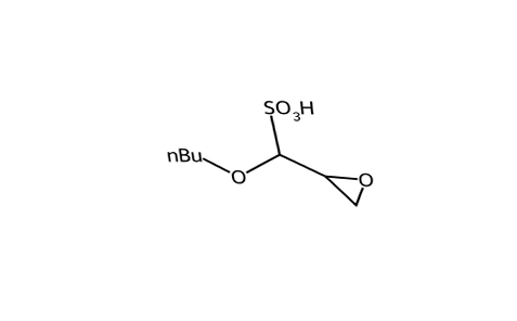 CCCCOC(C1CO1)S(=O)(=O)O